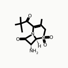 CC1=C(C(=O)C(C)(C)C)N2C(=O)[C@@H](N)[C@@H]2S(=O)(=O)C1